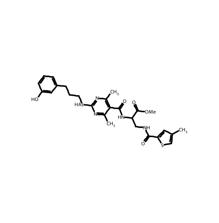 COC(=O)C(CNC(=O)c1cc(C)cs1)NC(=O)c1c(C)nc([AsH]CCCc2cccc(O)c2)nc1C